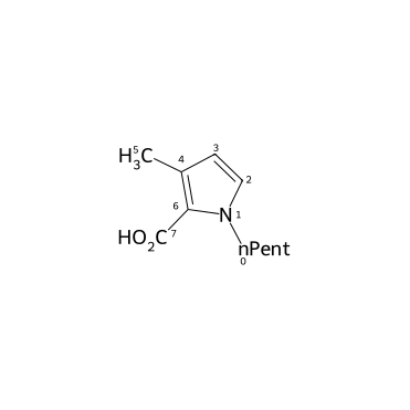 CCCCCn1ccc(C)c1C(=O)O